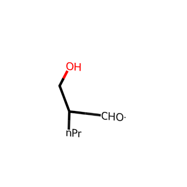 CCCC([C]=O)CO